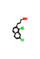 OCCCc1ccc2ccc(Cl)cc2c1Cl